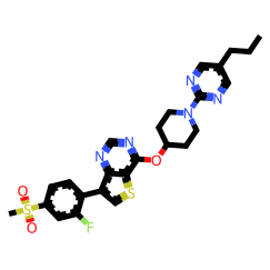 CCCc1cnc(N2CCC(Oc3ncnc4c(-c5ccc(S(C)(=O)=O)cc5F)csc34)CC2)nc1